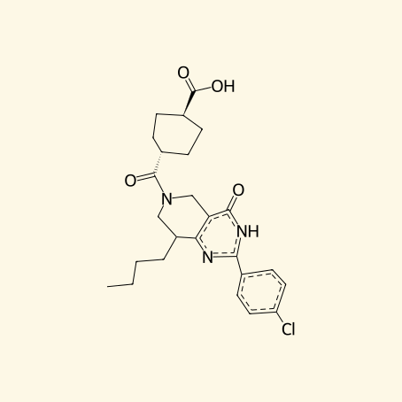 CCCCC1CN(C(=O)[C@H]2CC[C@H](C(=O)O)CC2)Cc2c1nc(-c1ccc(Cl)cc1)[nH]c2=O